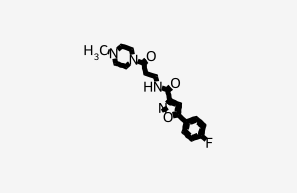 CN1CCN(C(=O)CCNC(=O)c2cc(-c3ccc(F)cc3)on2)CC1